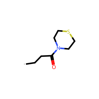 [CH2]CCC(=O)N1CCSCC1